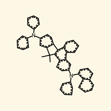 CC1(C)c2cc(N(c3ccccc3)c3ccccc3)ccc2-c2c1c1ccc(N(c3ccccc3)c3cccc4ccccc34)cc1c1ccccc21